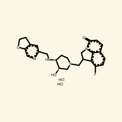 Cl.Cl.O=c1ccc2ccc(F)c3c2n1CC3CN1CC[C@H](NCc2cc3c(cn2)OCC3)[C@H](O)C1